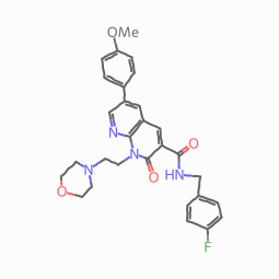 COc1ccc(-c2cnc3c(c2)cc(C(=O)NCc2ccc(F)cc2)c(=O)n3CCN2CCOCC2)cc1